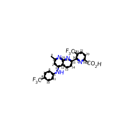 Cc1cc(Nc2ccc(C(F)(F)F)cc2)c2ccc(-c3nc(C(=O)O)ccc3C(F)(F)F)nc2n1